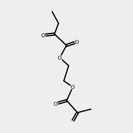 C=C(C)C(=O)OCCOC(=O)C(=O)CC